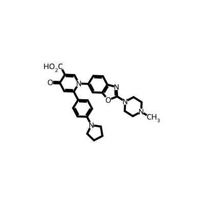 CN1CCN(c2nc3ccc(-n4cc(C(=O)O)c(=O)cc4-c4ccc(N5CCCC5)cc4)cc3o2)CC1